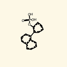 O=P(O)(O)Oc1ccccc1-c1cccc2ccccc12